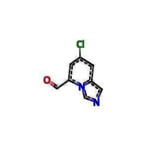 O=Cc1cc(Cl)cc2cncn12